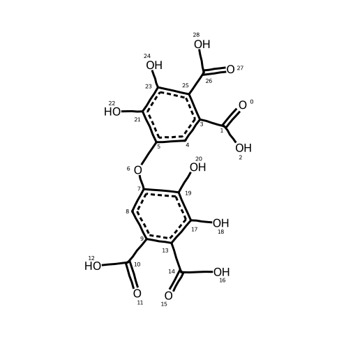 O=C(O)c1cc(Oc2cc(C(=O)O)c(C(=O)O)c(O)c2O)c(O)c(O)c1C(=O)O